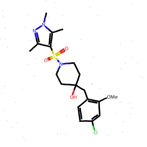 COc1cc(Cl)ccc1CC1(O)CCN(S(=O)(=O)c2c(C)nn(C)c2C)CC1